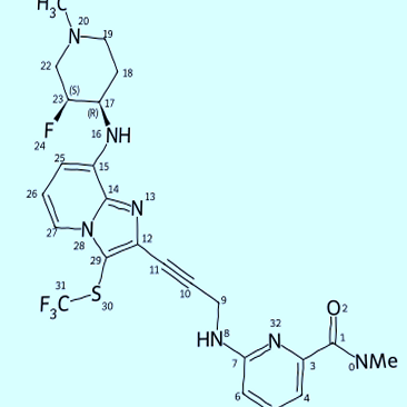 CNC(=O)c1cccc(NCC#Cc2nc3c(N[C@@H]4CCN(C)C[C@@H]4F)cccn3c2SC(F)(F)F)n1